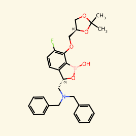 CC1(C)OC[C@H](COc2c(F)ccc3c2B(O)O[C@@H]3CN(Cc2ccccc2)Cc2ccccc2)O1